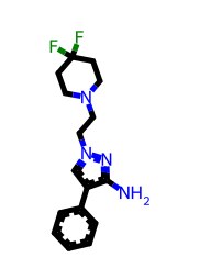 Nc1nn(CCN2CCC(F)(F)CC2)cc1-c1ccccc1